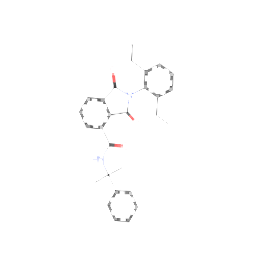 CCc1cccc(CC)c1N1C(=O)c2cccc(C(=O)NC(C)(C)c3ccccc3)c2C1=O